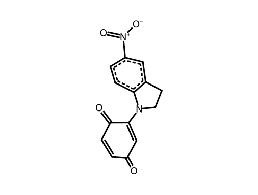 O=C1C=CC(=O)C(N2CCc3cc([N+](=O)[O-])ccc32)=C1